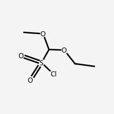 CCOC(OC)S(=O)(=O)Cl